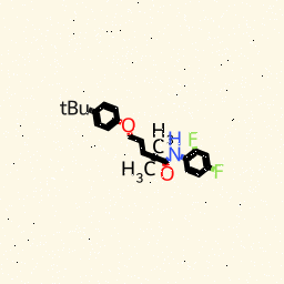 CC(C)(CCCOc1ccc(C(C)(C)C)cc1)C(=O)Nc1ccc(F)cc1F